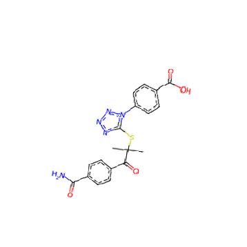 CC(C)(Sc1nnnn1-c1ccc(C(=O)O)cc1)C(=O)c1ccc(C(N)=O)cc1